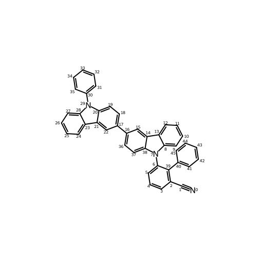 N#Cc1cccc(-n2c3ccccc3c3cc(-c4ccc5c(c4)c4ccccc4n5-c4ccccc4)ccc32)c1-c1ccccc1